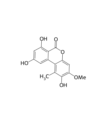 COc1cc2oc(=O)c3c(O)cc(O)cc3c2c(C)c1O